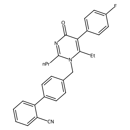 CCCc1nc(=O)c(-c2ccc(F)cc2)c(CC)n1Cc1ccc(-c2ccccc2C#N)cc1